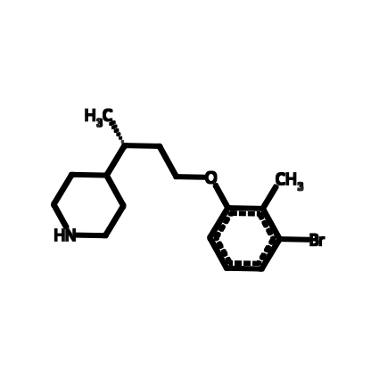 Cc1c(Br)cccc1OCC[C@@H](C)C1CCNCC1